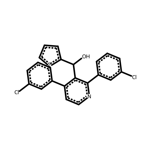 OC(c1cccs1)c1c(-c2cccc(Cl)c2)ccnc1-c1cccc(Cl)c1